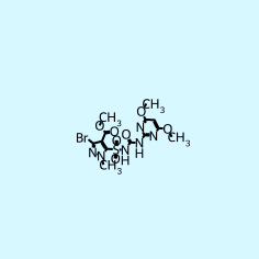 COC(=O)c1c(Br)nn(C)c1S(=O)(=O)NC(=O)Nc1nc(OC)cc(OC)n1